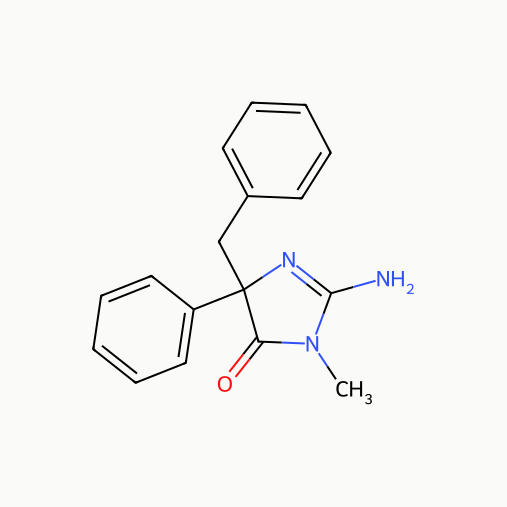 CN1C(=O)C(Cc2ccccc2)(c2ccccc2)N=C1N